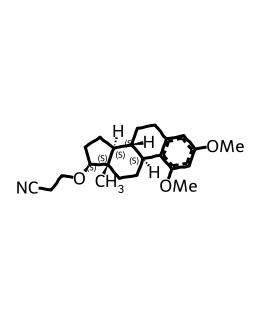 COc1cc2c(c(OC)c1)[C@H]1CC[C@]3(C)[C@@H](OCCC#N)CC[C@H]3[C@@H]1CC2